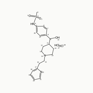 CS(=O)(=O)Nc1ccc(C(O)C2CCN(CCc3ccccn3)CC2)cc1.Cl.Cl